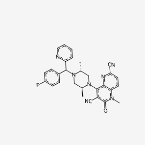 C[C@@H]1CN(c2c(C#N)c(=O)n(C)c3ccc(C#N)nc23)[C@@H](C)CN1C(c1ccc(F)cc1)c1ccccn1